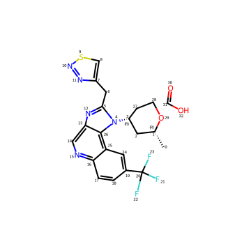 C[C@@H]1C[C@H](n2c(Cc3csnn3)nc3cnc4ccc(C(F)(F)F)cc4c32)CCO1.O=CO